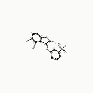 CS(=O)(=O)c1cccc(C=C2C(=O)Nc3ccc(F)c(F)c32)c1